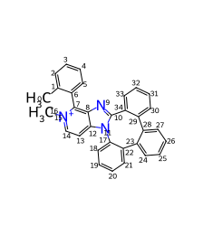 Cc1ccccc1-c1c2nc3n(c2cc[n+]1C)-c1ccccc1-c1ccccc1-c1ccccc1-3